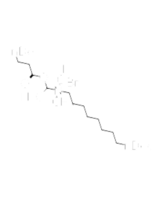 CCCCCCCCCCCCCCCCCC[N+](C)(C)C(C)OC(=O)CCCCCCCCCCCC.[Br-]